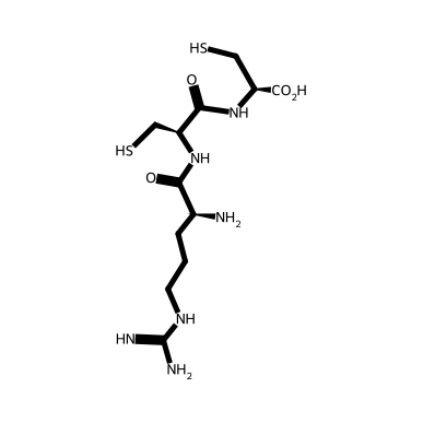 N=C(N)NCCC[C@H](N)C(=O)N[C@@H](CS)C(=O)N[C@@H](CS)C(=O)O